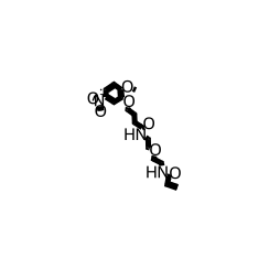 C=CC(=O)NCCOCCNC(=O)CCCOc1cc([N+](=O)[O-])[c]cc1OC